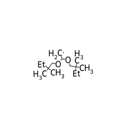 [CH2]C(OCC(C)(C)CC)OCC(C)(C)CC